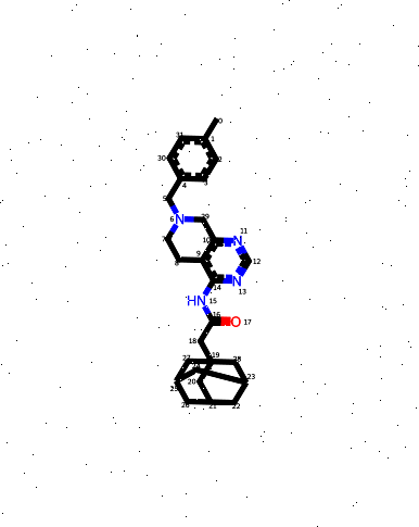 Cc1ccc(CN2CCc3c(ncnc3NC(=O)CC34CC5CC(CC(C5)C3)C4)C2)cc1